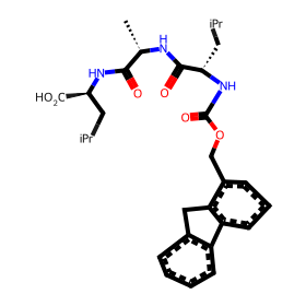 CC(C)C[C@H](NC(=O)[C@H](C)NC(=O)[C@H](CC(C)C)NC(=O)OCc1cccc2c1Cc1ccccc1-2)C(=O)O